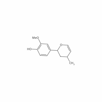 COc1cc(C2CC(C)C=CO2)ccc1O